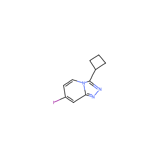 Ic1ccn2c(C3CCC3)nnc2c1